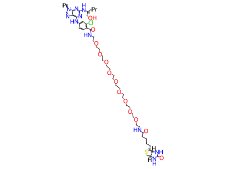 CC(C)[C@@H](CO)Nc1nc(Nc2ccc(C(=O)NCCOCCOCCOCCOCCOCCOCCOCCOCCOCCNC(=O)CCCC[C@@H]3SC[C@@H]4NC(=O)N[C@@H]43)c(Cl)c2)c2ncn(C(C)C)c2n1